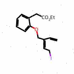 C=C/C(=C\CI)COc1ccccc1CC(=O)OCC